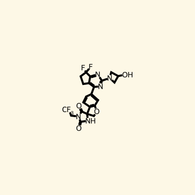 O=C1NC2(COc3cc(-c4nc(N5CC(O)C5)nc5c4CCC5(F)F)ccc32)C(=O)N1CC(F)(F)F